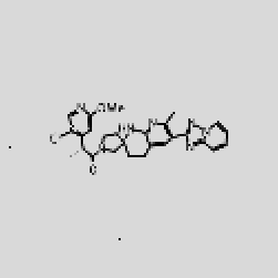 COc1cc([C@@H](C)C(=O)N2CC[C@@]3(CCc4cc(-c5nc6ccccn6n5)c(C)nc4N3)C2)c(Cl)cn1